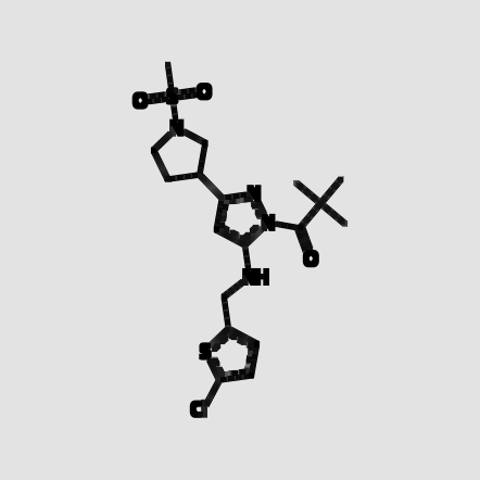 CC(C)(C)C(=O)n1nc(C2CCN(S(C)(=O)=O)C2)cc1NCc1ccc(Cl)s1